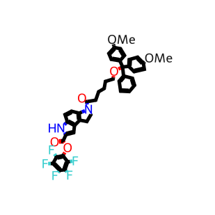 COc1ccc(C(OCCCCCC(=O)N2CCc3c2ccc2[nH]c(C(=O)Oc4c(F)c(F)c(F)c(F)c4F)cc32)(c2ccccc2)c2ccc(OC)cc2)cc1